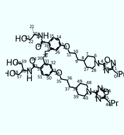 CC(C)c1noc(N2CCC(CCCOc3ccc(C(=O)N[C@@H](C)CO)c(F)c3)CC2)n1.Cc1cc(OCCCC2CCN(c3noc(C(C)C)n3)CC2)ccc1C(=O)NC(CO)CO